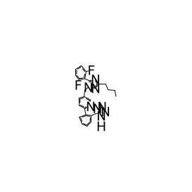 CCCCc1nc(-c2c(F)cccc2F)n(Cc2ccc(-c3ccccc3-c3nnn[nH]3)nc2)n1